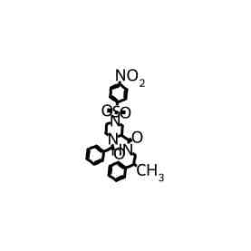 CC(CNC(=O)C1CN(S(=O)(=O)c2ccc([N+](=O)[O-])cc2)CCN1C(=O)c1ccccc1)c1ccccc1